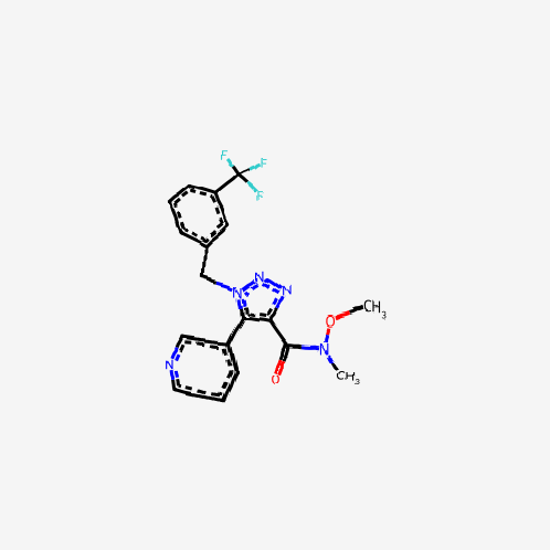 CON(C)C(=O)c1nnn(Cc2cccc(C(F)(F)F)c2)c1-c1cccnc1